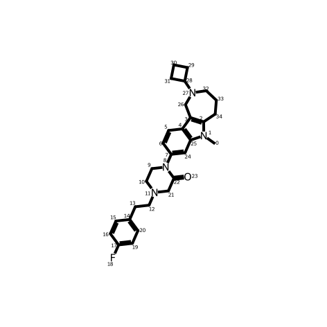 Cn1c2c(c3ccc(N4CCN(CCc5ccc(F)cc5)CC4=O)cc31)CN(C1CCC1)CCC2